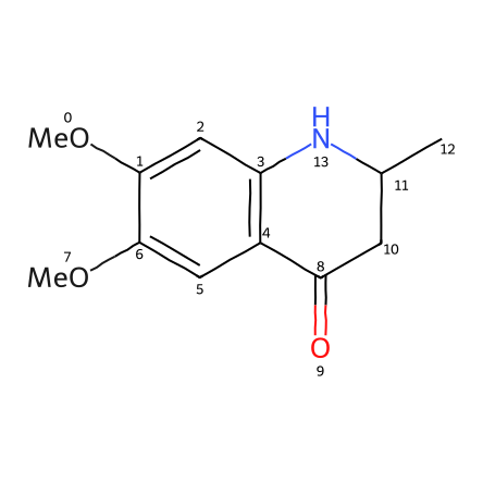 COc1cc2c(cc1OC)C(=O)CC(C)N2